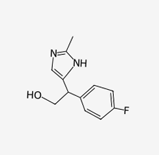 Cc1ncc(C(CO)c2ccc(F)cc2)[nH]1